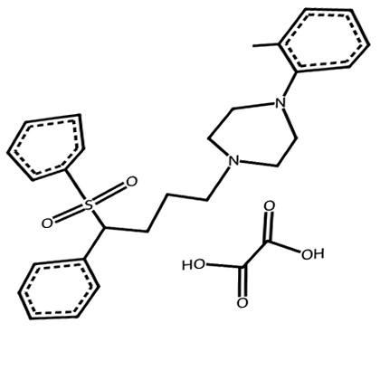 Cc1ccccc1N1CCN(CCCC(c2ccccc2)S(=O)(=O)c2ccccc2)CC1.O=C(O)C(=O)O